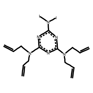 C=CCN(CC=C)c1nc(N(I)I)nc(N(CC=C)CC=C)n1